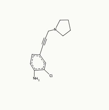 Nc1ccc(C#CCN2CCCC2)cc1Cl